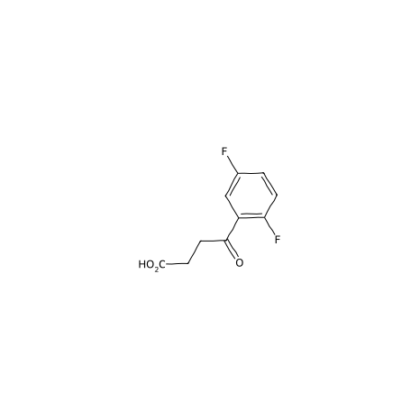 O=C(O)CCC(=O)c1cc(F)ccc1F